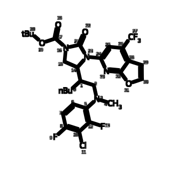 CCCCC(CN(C)c1ccc(F)c(Cl)c1F)C1CN(C(=O)OC(C)(C)C)C(=O)N1c1cc(C(F)(F)F)c2ccoc2n1